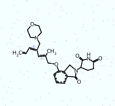 C=C/C=C(\C=C(/C)COc1cccc2c1CN(C1CCC(=O)NC1=O)C2=O)CN1CCOCC1